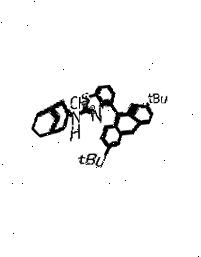 CC1(Nc2nc3c(-c4c5ccc(C(C)(C)C)cc5cc5ccc(C(C)(C)C)cc45)cccc3s2)CC2CCCC(C2)C1